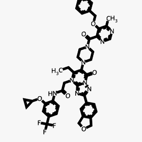 CCc1c(N2CCN(C(=O)c3ncnc(C)c3OCc3ccccc3)CC2)c(=O)n2nc(-c3ccc4c(c3)COC4)nc2n1CC(=O)Nc1ccc(C(F)(F)F)cc1OC1CC1